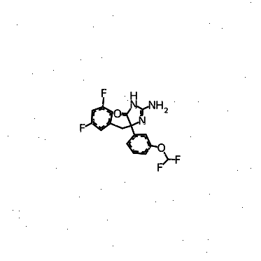 NC1=NC(Cc2cc(F)cc(F)c2)(c2cccc(OC(F)F)c2)C(=O)N1